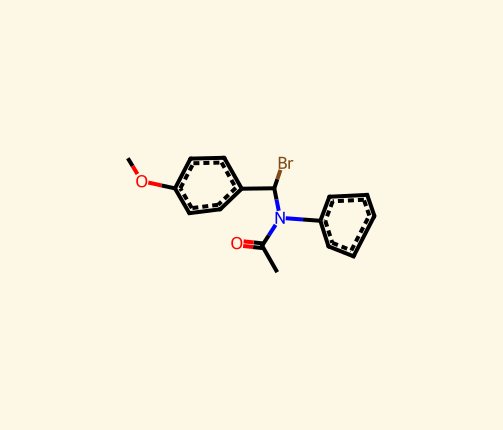 COc1ccc(C(Br)N(C(C)=O)c2ccccc2)cc1